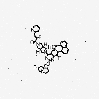 C#Cc1cccc2cccc(-c3ncc4c(N5C[C@H]6CN(C(=O)/C(F)=C/c7ccccn7)C[C@H]6C5)nc(OC[C@@]56CCCN5C[C@H](F)C6)nc4c3F)c12